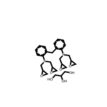 OCC(O)CO.c1ccc(N(CC2CO2)CC2CO2)c(Cc2ccccc2N(CC2CO2)CC2CO2)c1